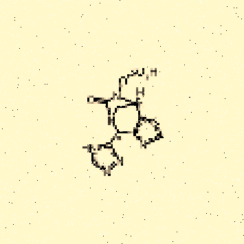 O=C1N2C[C@@H](c3scnc3[C@H]2c2nnc[nH]2)N1OS(=O)(=O)O